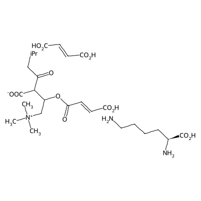 CC(C)CC(=O)C(C(=O)[O-])C(C[N+](C)(C)C)OC(=O)/C=C/C(=O)O.NCCCC[C@H](N)C(=O)O.O=C(O)/C=C/C(=O)O